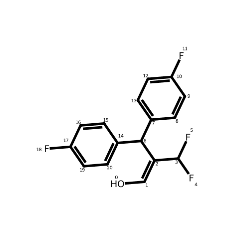 O/C=C(/C(F)F)C(c1ccc(F)cc1)c1ccc(F)cc1